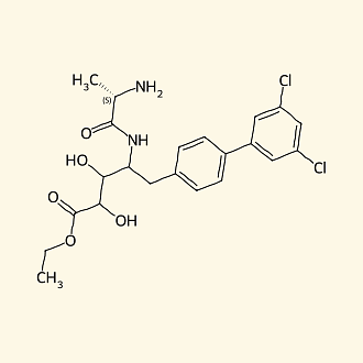 CCOC(=O)C(O)C(O)C(Cc1ccc(-c2cc(Cl)cc(Cl)c2)cc1)NC(=O)[C@H](C)N